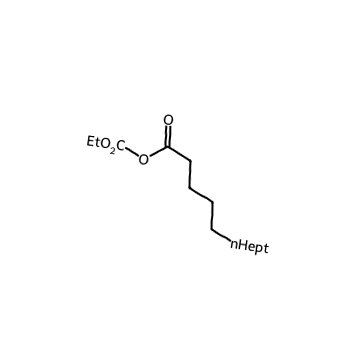 CCCCCCCCCCCC(=O)OC(=O)OCC